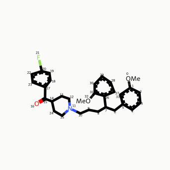 COc1cccc(CC(CCCN2CCC(C(=O)c3ccc(F)cc3)CC2)c2ccccc2OC)c1